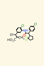 CCC(c1ccc(Cl)c(NC(=O)C(c2ccc(Cl)cc2)C2CCCC2(F)F)c1)[C@H](C)C(=O)O